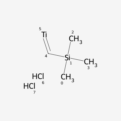 C[Si](C)(C)[CH]=[Ti].Cl.Cl